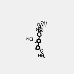 CNCCOc1cccc(-c2ccc(C3CCN(S(=O)(=O)C(C)(C)C(=O)NO)CC3)cc2C)c1.Cl